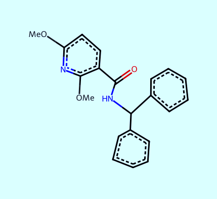 COc1ccc(C(=O)NC(c2ccccc2)c2ccccc2)c(OC)n1